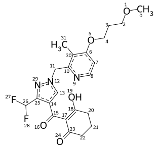 COCCCOc1ccnc(Cn2cc(C(=O)C3=C(O)CCCC3=O)c(C(F)F)n2)c1C